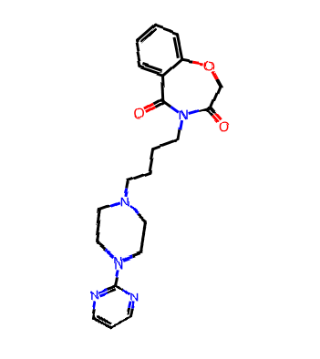 O=C1COc2ccccc2C(=O)N1CCCCN1CCN(c2ncccn2)CC1